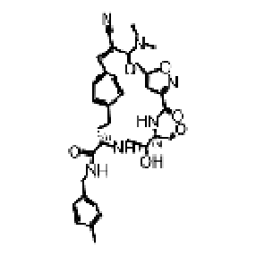 Cc1ccc(CNC(=O)[C@H](CCc2ccc(C=C(C#N)C(=O)N(C)C)cc2)NC[C@H](O)[C@@H](C=O)NC(=O)c2cc(C)on2)cc1